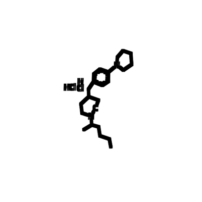 CCCCC(C)N1CCC(Cc2ccc(N3CCCCC3)cc2)CC1.Cl.Cl